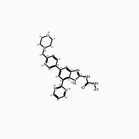 CCNC(=O)Nc1nc2cc(-c3ccc(CN4CCOCC4)nc3)cc(-c3ncccn3)c2[nH]1